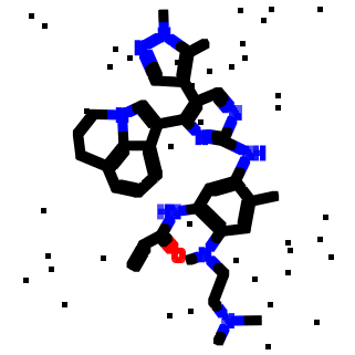 C=CC(=O)Nc1cc(Nc2ncc(-c3cnn(C)c3C)c(-c3cn4c5c(cccc35)CCC4)n2)c(C)cc1N(C)CCN(C)C